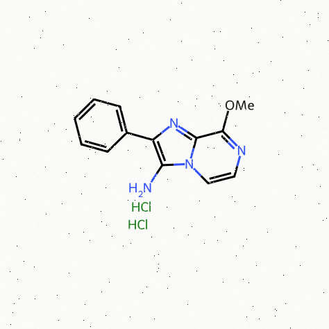 COc1nccn2c(N)c(-c3ccccc3)nc12.Cl.Cl